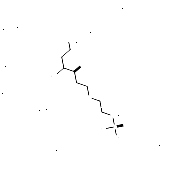 CCCCCCCCCCCCC(CCC)C(=O)CCOCCOP(=O)(O)O